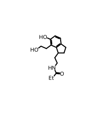 CCC(=O)NCCC1CCc2ccc(O)c(CCO)c21